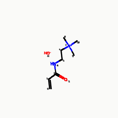 C=CC(=O)NCC[N+](C)(C)C.[OH-]